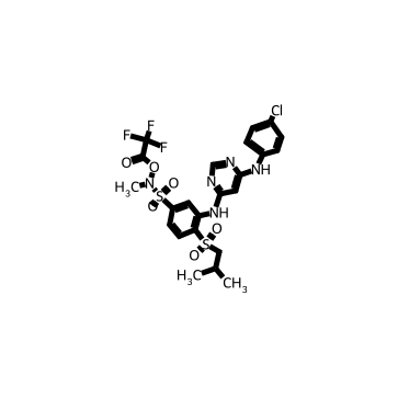 CC(C)CS(=O)(=O)c1ccc(S(=O)(=O)N(C)OC(=O)C(F)(F)F)cc1Nc1cc(Nc2ccc(Cl)cc2)ncn1